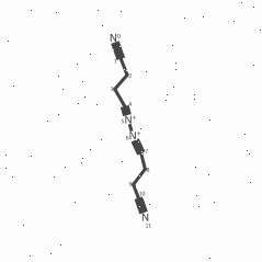 N#CCCC#[N+][N+]#CCCC#N